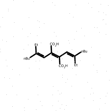 CCCC/C(=C/C(C(=O)O)=C(/C=C(\CC)CCCC)C(=O)O)CC